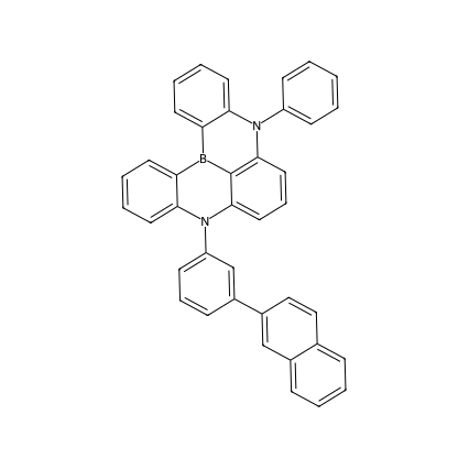 c1ccc(N2c3ccccc3B3c4ccccc4N(c4cccc(-c5ccc6ccccc6c5)c4)c4cccc2c43)cc1